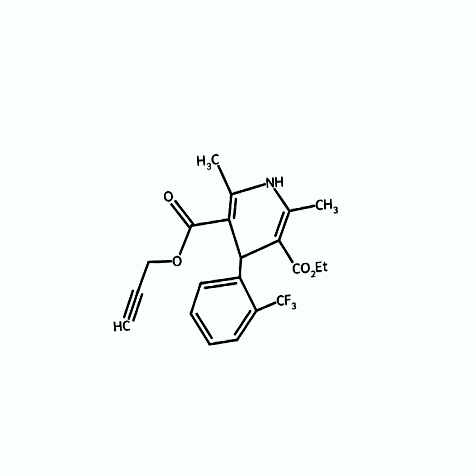 C#CCOC(=O)C1=C(C)NC(C)=C(C(=O)OCC)C1c1ccccc1C(F)(F)F